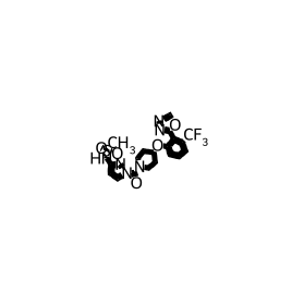 CS(=O)(=O)Nc1ccn(C(=O)N2CCC(Oc3cccc(C(F)(F)F)c3-c3nnco3)CC2)n1